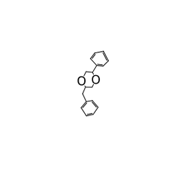 c1ccc(CC2COC(c3ccccc3)CO2)cc1